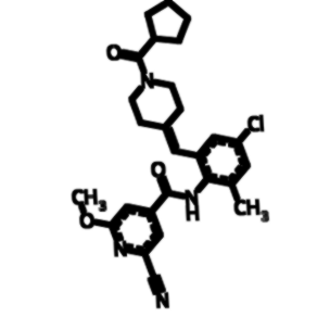 COc1cc(C(=O)Nc2c(C)cc(Cl)cc2C=C2CCN(C(=O)C3CCCC3)CC2)cc(C#N)n1